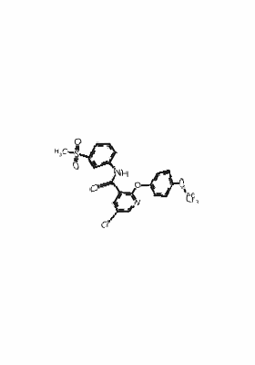 CS(=O)(=O)c1cccc(NC(=O)c2cc(Cl)cnc2Oc2ccc(OC(F)(F)F)cc2)c1